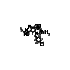 CCc1noc(-c2cc3c(cc2F)S(=O)(=O)C[C@H](N)CN3Cc2ccc(Cl)cc2)n1